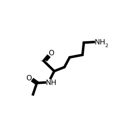 CC(=O)NC([C]=O)CCCCN